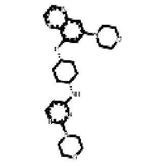 c1cc(N[C@H]2CC[C@@H](Oc3cc(N4CCOCC4)cc4nccnc34)CC2)nc(N2CCOCC2)n1